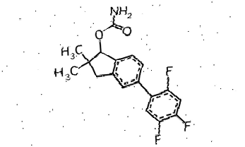 CC1(C)Cc2cc(-c3cc(F)c(F)cc3F)ccc2C1OC(N)=O